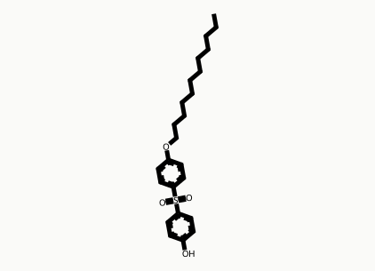 CCCCCCCCCCCCOc1ccc(S(=O)(=O)c2ccc(O)cc2)cc1